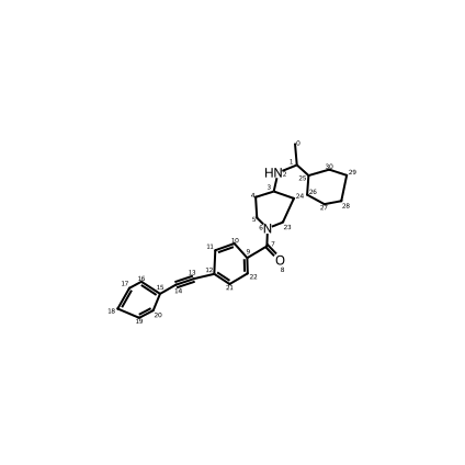 CC(NC1CCN(C(=O)c2ccc(C#Cc3ccccc3)cc2)CC1)C1CCCCC1